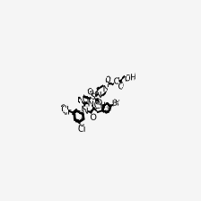 C[C@@]1(Cc2ccc(Br)cc2)C(=O)N(c2cc(Cl)cc(Cl)c2)c2ncc(S(=O)(=O)N3CCN(C(=O)COC(=O)CO)CC3)n21